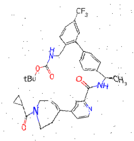 C[C@@H](NC(=O)c1cc(C2=CCN(C(=O)C3CC3)CC2)ccn1)c1ccc(-c2cc(C(F)(F)F)ccc2CNC(=O)OC(C)(C)C)cc1